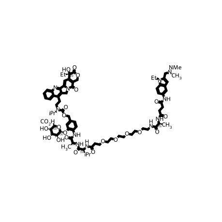 CCn1c(CN(C)NC)cc2cc(NC(=O)CCC(=O)N[C@@H](C)C(=O)NCCOCCOCCOCCOCCC(=O)N[C@H](C(=O)N[C@@H](C)C(=O)Nc3ccc(COC(=O)N(CCc4c5c(nc6ccccc46)-c4cc6c(c(=O)n4C5)COC(=O)[C@]6(O)CC)C(C)C)cc3O[C@@H]3O[C@H](C(=O)O)[C@@H](O)[C@H](O)[C@H]3O)C(C)C)ccc21